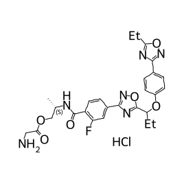 CCc1nc(-c2ccc(OC(CC)c3nc(-c4ccc(C(=O)N[C@@H](C)COC(=O)CN)c(F)c4)no3)cc2)no1.Cl